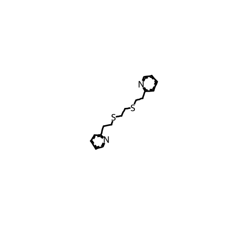 c1ccc(CCSCCSCCc2ccccn2)nc1